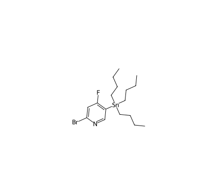 CCC[CH2][Sn]([CH2]CCC)([CH2]CCC)[c]1cnc(Br)cc1F